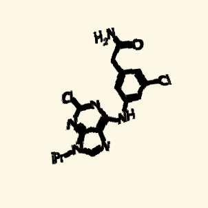 CC(C)n1cnc2c(Nc3cc(Cl)cc(CC(N)=O)c3)nc(Cl)nc21